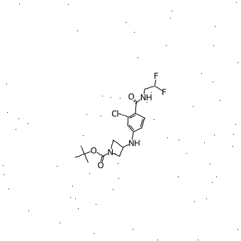 CC(C)(C)OC(=O)N1CC(Nc2ccc(C(=O)NCC(F)F)c(Cl)c2)C1